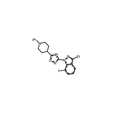 CCc1nn(-c2noc(C3CCN(C(C)C)CC3)n2)c2c(F)cccc12